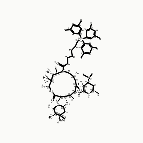 CC[C@H]1OC(=O)[C@H](C)[C@@H](O[C@H]2C[C@@](C)(OC)[C@@H](O)[C@H](C)O2)[C@H](C)[C@@H](O[C@@H]2O[C@H](C)C[C@H](N(C)C)[C@H]2O)[C@](C)(O)C[C@@H](C)CN(C(=O)CCCCCC[PH](c2cc(C)cc(C)c2)(c2cc(C)cc(C)c2)c2cc(C)cc(C)c2)[C@H](C)[C@@H](O)[C@]1(C)O